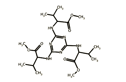 COC(=O)C(Nc1nc(NC(C(=O)OC)C(C)C)nc(NC(C(=O)OC)C(C)C)n1)C(C)C